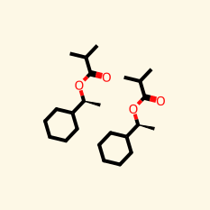 CC(C)C(=O)O[C@@H](C)C1CCCCC1.CC(C)C(=O)O[C@@H](C)C1CCCCC1